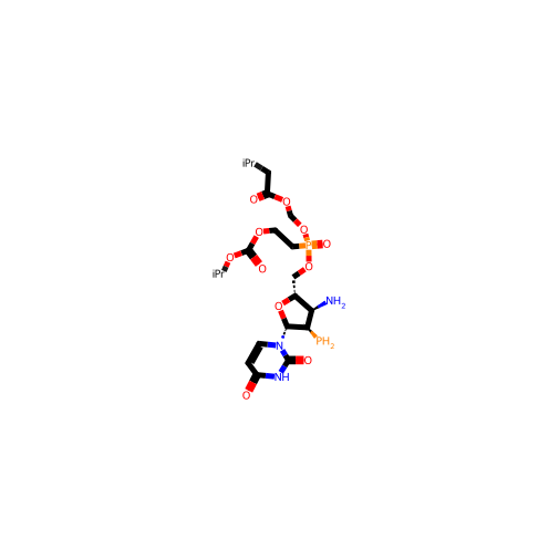 CC(C)CC(=O)OCOP(=O)(CCOC(=O)OC(C)C)OC[C@H]1O[C@@H](n2ccc(=O)[nH]c2=O)[C@H](P)[C@@H]1N